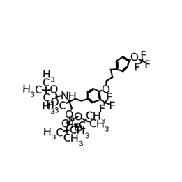 CC(CCc1ccc(OCCCc2ccc(OC(F)(F)F)cc2)c(C(F)(F)F)c1)(COP(=O)(OC(C)(C)C)OC(C)(C)C)NC(=O)OC(C)(C)C